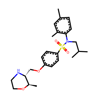 Cc1ccc(N(CC(C)C)S(=O)(=O)c2ccc(OC[C@H]3NCCO[C@@H]3C)cc2)c(C)c1